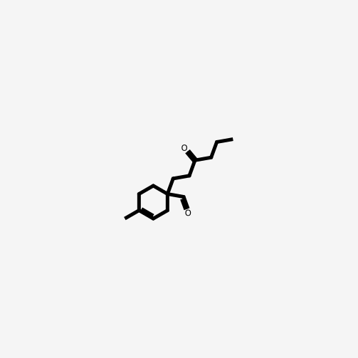 CCCC(=O)CCC1(C=O)CC=C(C)CC1